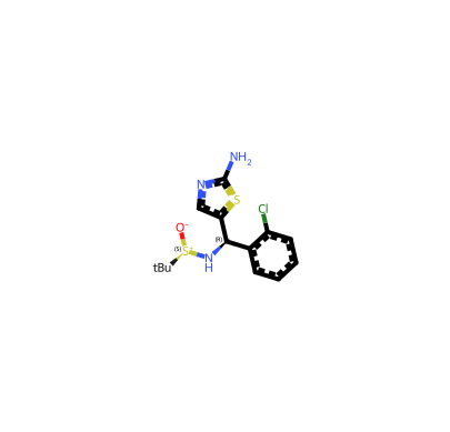 CC(C)(C)[S@@+]([O-])N[C@@H](c1cnc(N)s1)c1ccccc1Cl